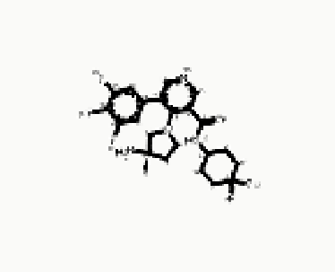 C[C@]1(N)CCN(c2c(C(=O)NC3CCC(F)(F)CC3)cncc2-c2cc(F)c(F)c(F)c2)C1